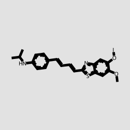 COc1cc2sc(/C=C/C=C/c3ccc(NC(C)C)cc3)nc2cc1OI